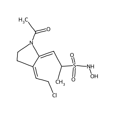 CC(=O)N1CCC(=C/CCl)/C1=C\C(C)S(=O)(=O)NO